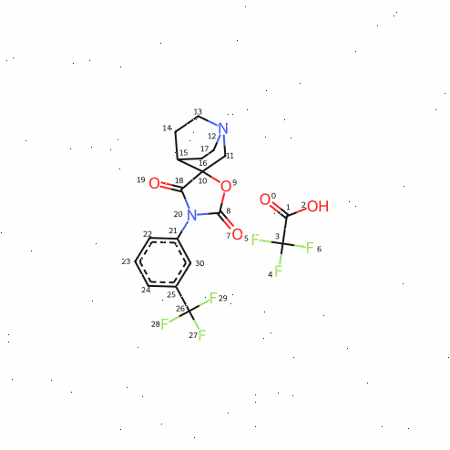 O=C(O)C(F)(F)F.O=C1OC2(CN3CCC2CC3)C(=O)N1c1cccc(C(F)(F)F)c1